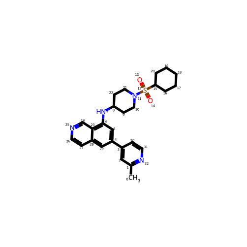 Cc1cc(-c2cc(NC3CCN(S(=O)(=O)C4CCCCC4)CC3)c3cnccc3c2)ccn1